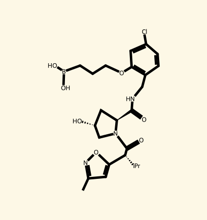 Cc1cc([C@H](C(=O)N2C[C@H](O)C[C@H]2C(=O)NCc2ccc(Cl)cc2OCCCB(O)O)C(C)C)on1